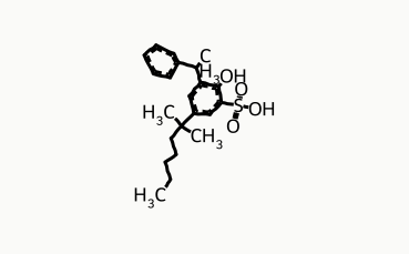 CCCCCC(C)(C)c1cc(C(C)c2ccccc2)c(O)c(S(=O)(=O)O)c1